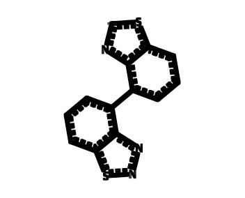 [c]1nc2c(-c3cccc4snnc34)cccc2s1